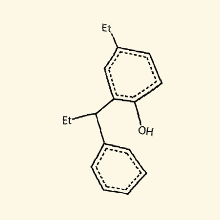 CCc1ccc(O)c(C(CC)c2ccccc2)c1